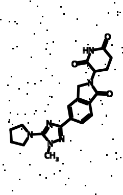 Cn1nc(-c2ccc3c(c2)CN(C2CCC(=O)NC2=O)C3=O)nc1N1CCCC1